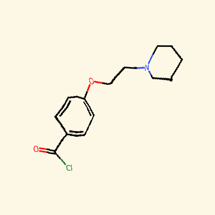 O=C(Cl)c1ccc(OCCN2CCCCC2)cc1